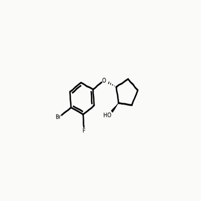 O[C@@H]1CCC[C@H]1Oc1ccc(Br)c(F)c1